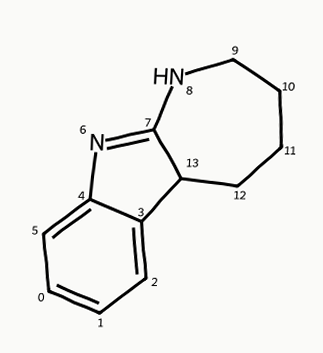 c1ccc2c(c1)N=C1NCCCCC12